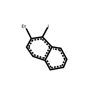 CCc1ccc2ccccc2c1I